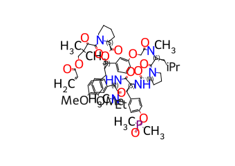 C=CC(=O)OCC(C)(C)C(=O)C(=O)N1CCCC[C@H]1C(=O)O[C@H](CCc1ccc(OC)c(OC)c1)c1cccc(OCC(=O)N(C)[C@@H](CC(C)C)C(=O)N2CCC[C@@H]2C(=O)N[C@@H](Cc2ccc(OP(C)(C)=O)cc2)C(=O)N[C@@H](C(=O)N(C)CC)c2ccccc2)c1